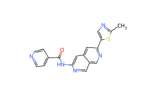 Cc1ncc(-c2cc3cc(NC(=O)c4ccncc4)ncc3cn2)s1